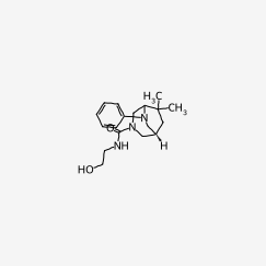 CC1(C)C[C@@H]2CN(C(=O)NCCO)CC1N(c1ccccc1)C2